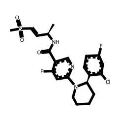 C[C@H](/C=C/S(C)(=O)=O)NC(=O)c1cnc(N2CCCC[C@@H]2c2ccc(F)cc2Cl)cc1F